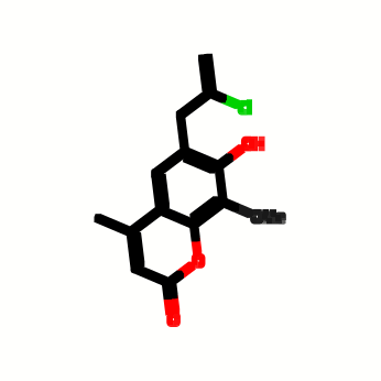 C=C(Cl)Cc1cc2c(C)cc(=O)oc2c(OC)c1O